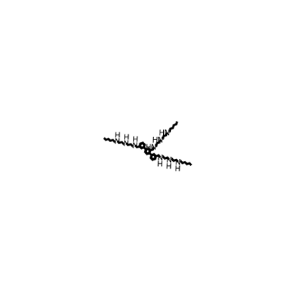 CCCCCCNCCCNCCCNCc1cccc(-c2ccc(-c3cccc(CNCCCNCCCNCCCCCC)c3)c(CNCCCNCCCNCCCCCC)c2)c1